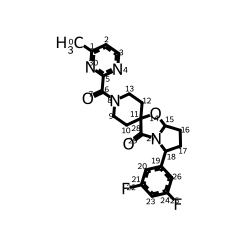 Cc1ccnc(C(=O)N2CCC3(CC2)OC2CCC(c4cc(F)cc(F)c4)N2C3=O)n1